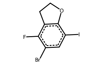 Fc1c(Br)cc(I)c2c1CCO2